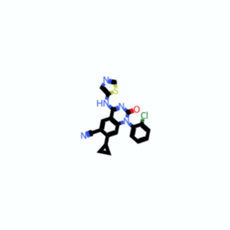 N#Cc1cc2c(Nc3cncs3)nc(=O)n(-c3ccccc3Cl)c2cc1C1CC1